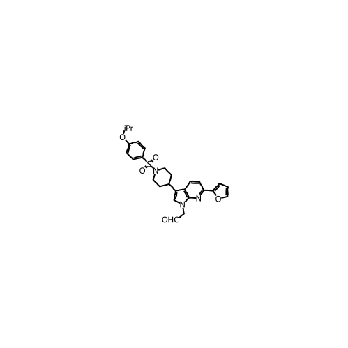 CC(C)Oc1ccc(S(=O)(=O)N2CCC(c3cn(CC=O)c4nc(-c5ccco5)ccc34)CC2)cc1